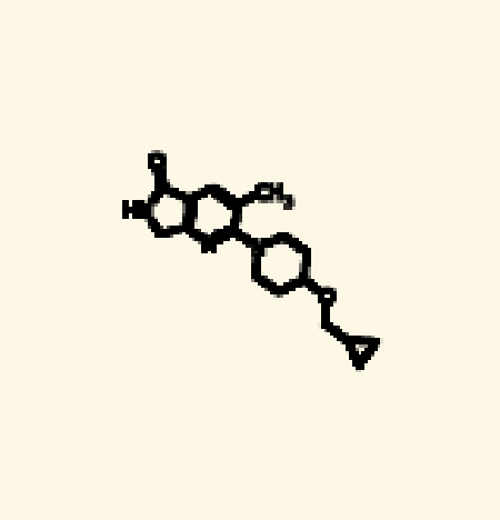 Cc1cc2c(nc1N1CCC(OCC3CC3)CC1)CNC2=O